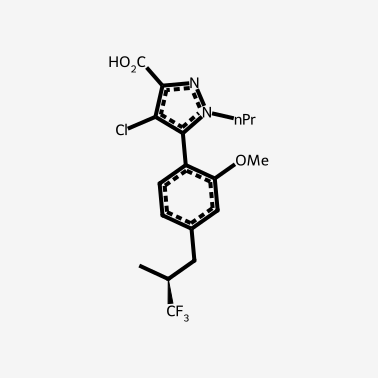 CCCn1nc(C(=O)O)c(Cl)c1-c1ccc(C[C@H](C)C(F)(F)F)cc1OC